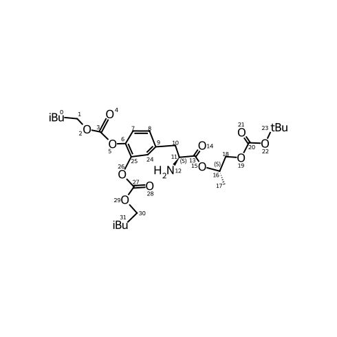 CCC(C)COC(=O)Oc1ccc(C[C@H](N)C(=O)O[C@@H](C)COC(=O)OC(C)(C)C)cc1OC(=O)OCC(C)CC